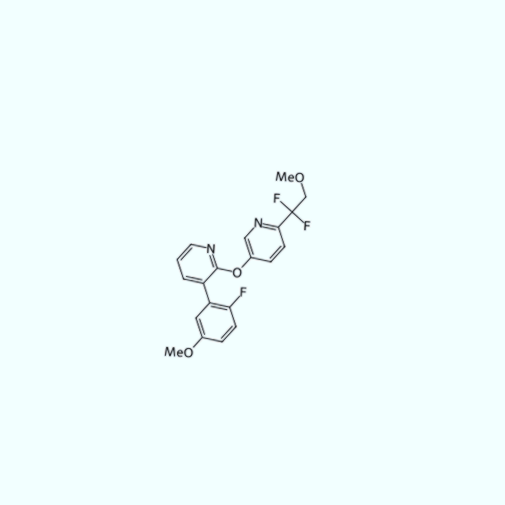 COCC(F)(F)c1ccc(Oc2ncccc2-c2cc(OC)ccc2F)cn1